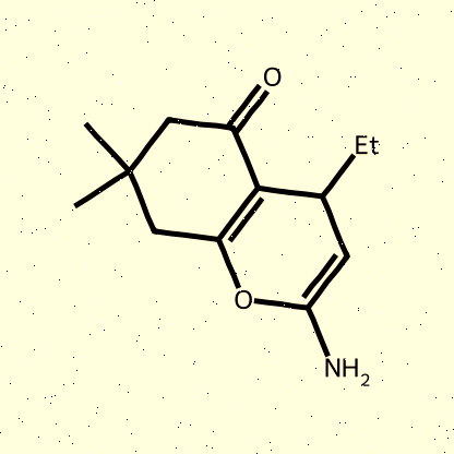 CCC1C=C(N)OC2=C1C(=O)CC(C)(C)C2